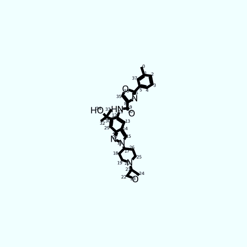 Cc1cccc(-c2nc(C(=O)Nc3cc4cn(C5CCN(C6COC6)CC5)nc4cc3C(C)(C)O)co2)c1